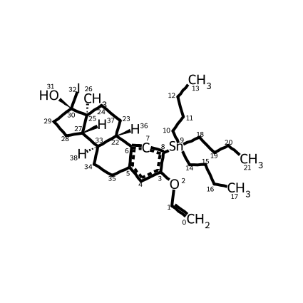 C=COc1cc2c(c[c]1[Sn]([CH2]CCC)([CH2]CCC)[CH2]CCC)[C@H]1CC[C@@]3(C)[C@@H](CC[C@]3(O)I)[C@@H]1CC2